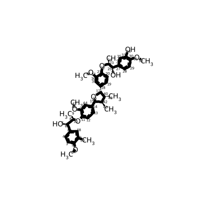 COc1ccc([C@@H](O)[C@@H](C)Oc2ccc(C3O[C@H](c4ccc(O[C@H](C)[C@H](O)c5ccc(OC)c(O)c5)c(OC)c4)[C@H](C)[C@H]3C)cc2OC)cc1C